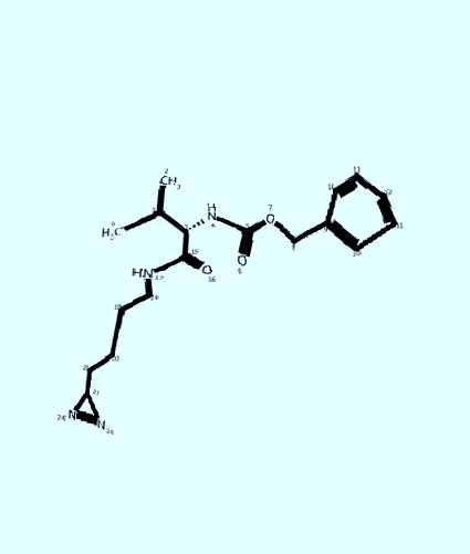 CC(C)[C@H](NC(=O)OCc1ccccc1)C(=O)NCCCCC1N=N1